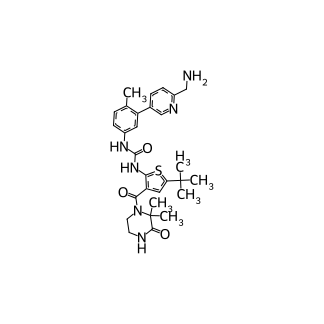 Cc1ccc(NC(=O)Nc2sc(C(C)(C)C)cc2C(=O)N2CCNC(=O)C2(C)C)cc1-c1ccc(CN)nc1